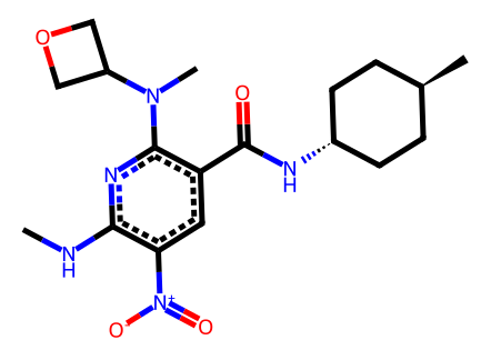 CNc1nc(N(C)C2COC2)c(C(=O)N[C@H]2CC[C@H](C)CC2)cc1[N+](=O)[O-]